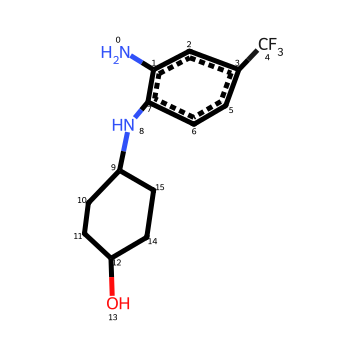 Nc1cc(C(F)(F)F)ccc1NC1CCC(O)CC1